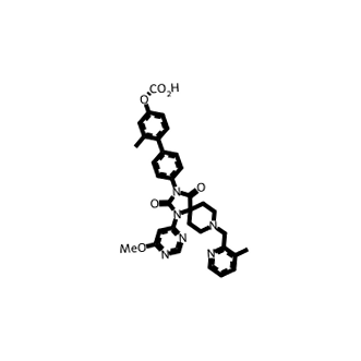 COc1cc(N2C(=O)N(c3ccc(-c4ccc(OC(=O)O)cc4C)cc3)C(=O)C23CCN(Cc2ncccc2C)CC3)ncn1